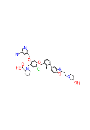 Cc1c(COc2cc(OCc3cncc(C#N)c3)c(CN3CCCCC3C(=O)O)cc2Cl)cccc1-c1ccc2oc(CCN3CCC(O)C3)nc2c1